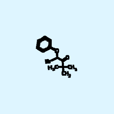 CC(C)(C)C(=O)C(Br)Oc1ccccc1